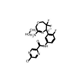 C[C@]1(c2cc(NC(=O)c3cnc(Cl)cn3)ccc2F)N=C(N)COCC1(F)F.O=CO